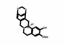 COc1cc2c(cc1O)[C@@H]1Cc3c(cc4cc3OCO4)CN1CC2